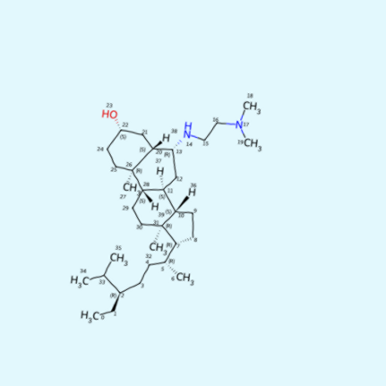 CC[C@H](CC[C@@H](C)[C@H]1CC[C@H]2[C@@H]3C[C@@H](NCCN(C)C)[C@H]4C[C@@H](O)CC[C@]4(C)[C@H]3CC[C@]12C)C(C)C